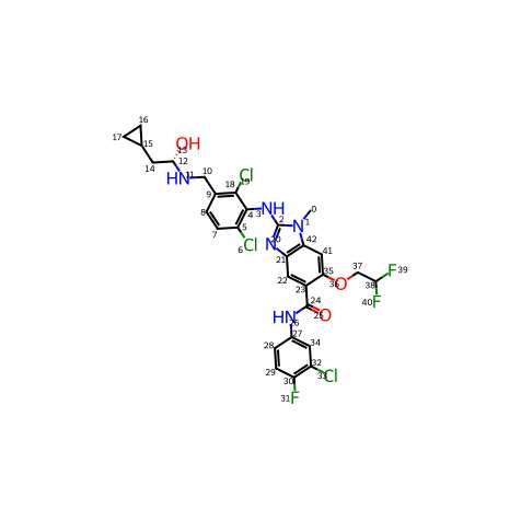 Cn1c(Nc2c(Cl)ccc(CN[C@@H](O)CC3CC3)c2Cl)nc2cc(C(=O)Nc3ccc(F)c(Cl)c3)c(OCC(F)F)cc21